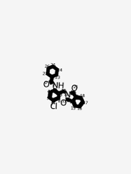 O=C(Nc1ccc(Cl)cc1CN1C(=O)c2ccccc2C1=O)C1CCCCC1